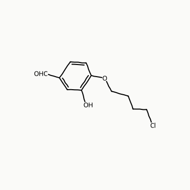 O=Cc1ccc(OCCCCCl)c(O)c1